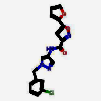 O=C(Nc1cnn(Cc2cccc(Cl)c2)c1)c1cc(-c2ccco2)on1